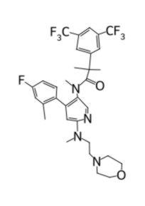 Cc1cc(F)ccc1-c1cc(N(C)CCN2CCOCC2)ncc1N(C)C(=O)C(C)(C)c1cc(C(F)(F)F)cc(C(F)(F)F)c1